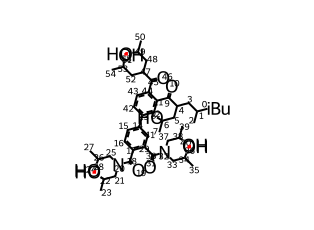 CCC(C)C(C)CC(CC(C)O)C(=O)c1cc(-c2ccc(C(=O)N(CC(C)O)CC(C)O)c(C(=O)N(CC(C)O)CC(C)O)c2)ccc1C(=O)C(CC(C)O)CC(C)O